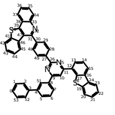 c1ccc(-c2cccc(-c3cc(-c4cccc5c4sc4ccccc45)nc(-c4ccc(-c5nc6ccccc6c6sc7ccccc7c56)cc4)n3)c2)cc1